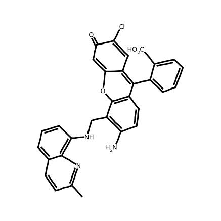 Cc1ccc2cccc(NCc3c(N)ccc4c(-c5ccccc5C(=O)O)c5cc(Cl)c(=O)cc-5oc34)c2n1